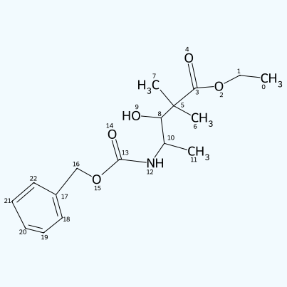 CCOC(=O)C(C)(C)C(O)C(C)NC(=O)OCc1ccccc1